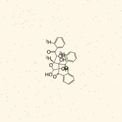 [2H]c1ccccc1C(=O)C(O)[C@@]1([2H])OC(O)C(O)(C(=O)c2ccccc2[2H])C1(O)C(=O)c1ccccc1[2H]